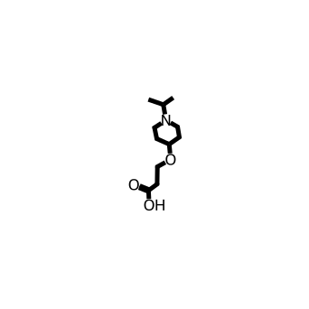 CC(C)N1CCC(OCCC(=O)O)CC1